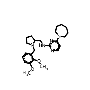 COc1cccc(CN2CCCC2CNc2nccc(N3CCCCCC3)n2)c1OC